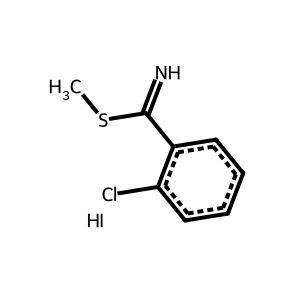 CSC(=N)c1ccccc1Cl.I